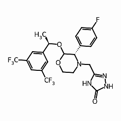 C[C@@H](OC1OCCN(Cc2n[nH]c(=O)[nH]2)[C@H]1c1ccc(F)cc1)c1cc(C(F)(F)F)cc(C(F)(F)F)c1